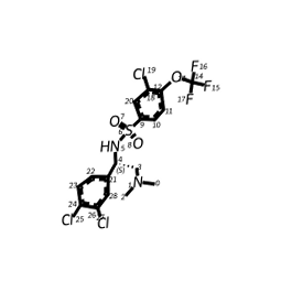 CN(C)C[C@@H](NS(=O)(=O)c1ccc(OC(F)(F)F)c(Cl)c1)c1ccc(Cl)c(Cl)c1